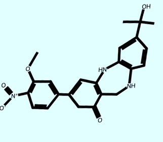 COc1cc(C2=CC3=C(CNc4ccc(C(C)(C)O)cc4N3)C(=O)C2)ccc1[N+](=O)[O-]